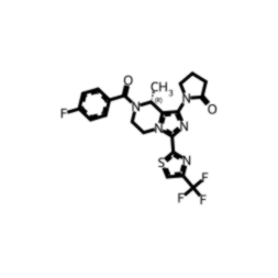 C[C@@H]1c2c(N3CCCC3=O)nc(-c3nc(C(F)(F)F)cs3)n2CCN1C(=O)c1ccc(F)cc1